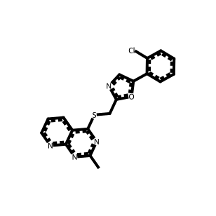 Cc1nc(SCc2ncc(-c3ccccc3Cl)o2)c2cccnc2n1